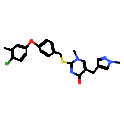 Cc1cc(Oc2ccc(CSc3nc(=O)c(Cc4cnn(C)c4)cn3C)cc2)ccc1Cl